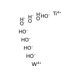 [OH-].[OH-].[OH-].[OH-].[OH-].[OH-].[OH-].[OH-].[Ti+4].[W+4]